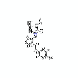 CCOC(=O)/C(=C/c1cscc1CCc1ccc(I)cc1)N=[N+]=[N-]